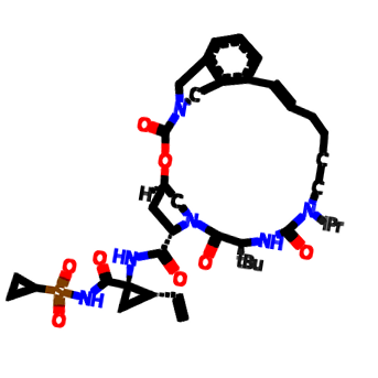 C=C[C@@H]1C[C@]1(NC(=O)[C@@H]1C[C@@H]2CN1C(=O)[C@H](C(C)(C)C)NC(=O)N(C(C)C)CCCC/C=C/c1cccc3c1CN(C3)C(=O)O2)C(=O)NS(=O)(=O)C1CC1